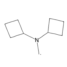 [CH2]N(C1CCC1)C1CCC1